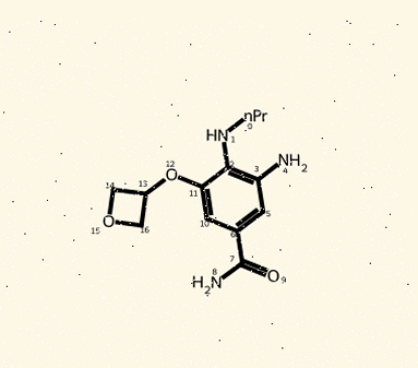 CCCNc1c(N)cc(C(N)=O)cc1OC1COC1